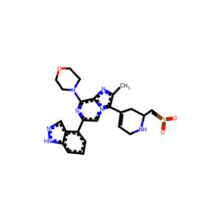 Cc1nc2c(N3CCOCC3)nc(-c3cccc4[nH]ncc34)cn2c1C1=CCNC(C=S(=O)=O)C1